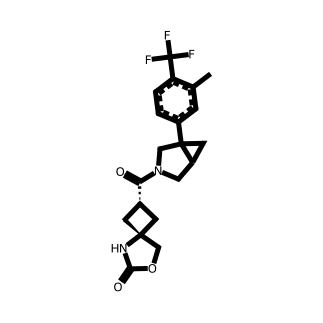 Cc1cc(C23CC2CN(C(=O)[C@H]2C[C@]4(COC(=O)N4)C2)C3)ccc1C(F)(F)F